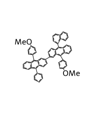 COc1ccc(-c2c3ccccc3c(-c3ccccc3)c3ccc(-c4ccc5c(-c6cccc7ccccc67)c6ccccc6c(-c6ccc(OC)cc6)c5c4)cc23)cc1